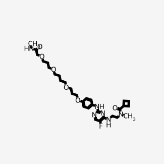 CNC(=O)COCCCOCCCCOCCCOc1ccc(Nc2ncc(F)c(NCCN(C)C(=O)C3CCC3)n2)cc1